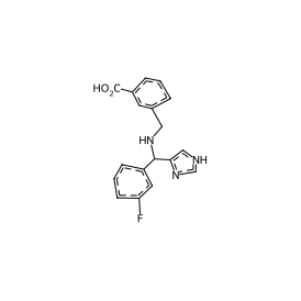 O=C(O)c1cccc(CNC(c2cccc(F)c2)c2c[nH]cn2)c1